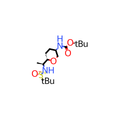 C[C@H](N[S+]([O-])C(C)(C)C)[C@@H]1CC[C@@H](NC(=O)OC(C)(C)C)CO1